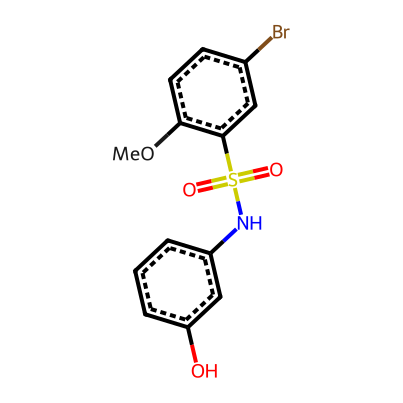 COc1ccc(Br)cc1S(=O)(=O)Nc1cccc(O)c1